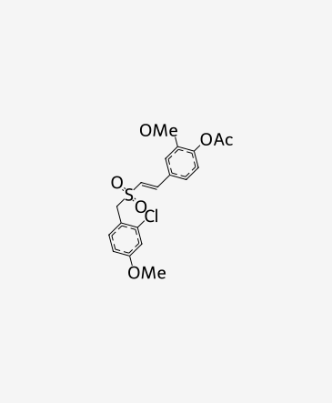 COc1ccc(CS(=O)(=O)C=Cc2ccc(OC(C)=O)c(OC)c2)c(Cl)c1